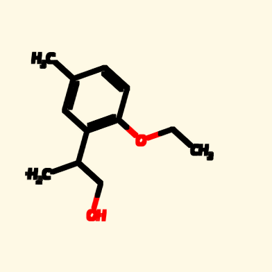 [CH2]C(CO)c1cc(C)ccc1OCC